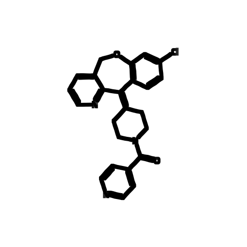 O=C(c1ccncc1)N1CCC(=C2c3ccc(Cl)cc3OCc3cccnc32)CC1